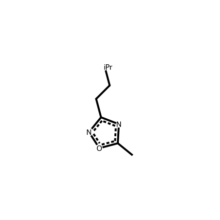 Cc1nc(CCC(C)C)no1